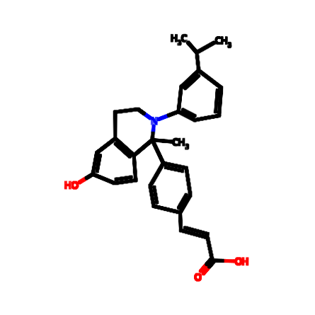 CC(C)c1cccc(N2CCc3cc(O)ccc3C2(C)c2ccc(/C=C/C(=O)O)cc2)c1